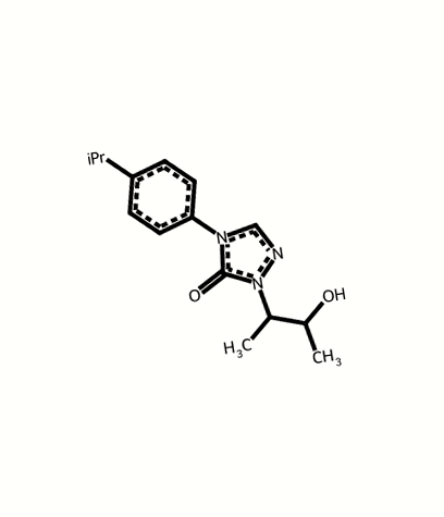 CC(C)c1ccc(-n2cnn(C(C)C(C)O)c2=O)cc1